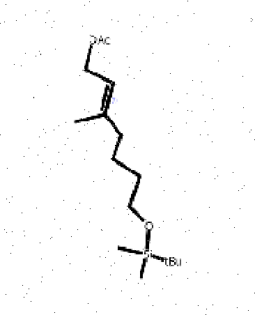 CC(=O)OC/C=C(\C)CCCCO[Si](C)(C)C(C)(C)C